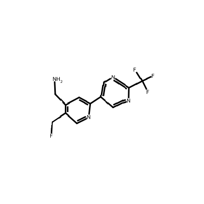 NCc1cc(-c2cnc(C(F)(F)F)nc2)ncc1CF